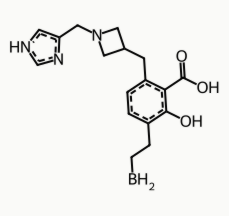 BCCc1ccc(CC2CN(Cc3c[nH]cn3)C2)c(C(=O)O)c1O